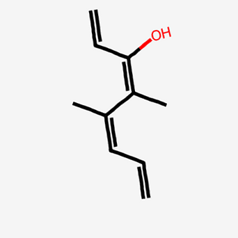 C=C/C=C(C)\C(C)=C(\O)C=C